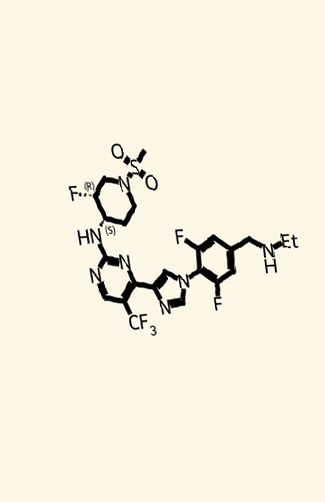 CCNCc1cc(F)c(-n2cnc(-c3nc(N[C@H]4CCN(S(C)(=O)=O)C[C@H]4F)ncc3C(F)(F)F)c2)c(F)c1